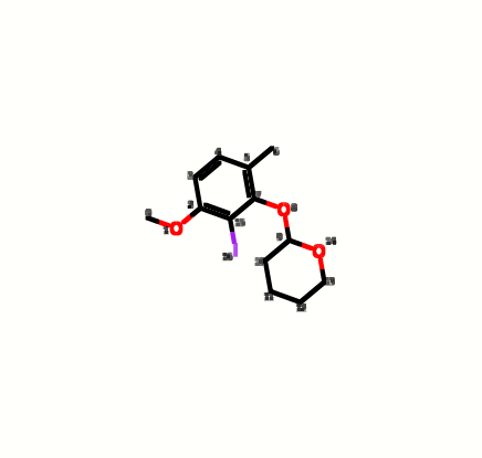 COc1ccc(C)c(OC2CCCCO2)c1I